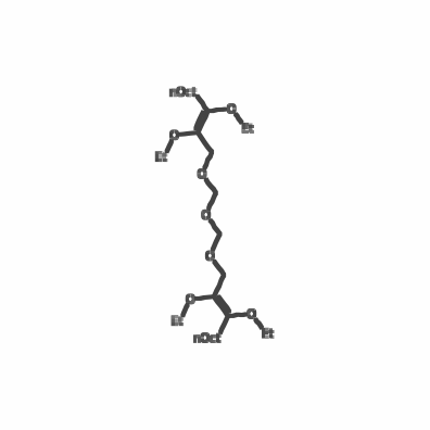 CCCCCCCCC(OCC)=C(COCOCOCC(OCC)=C(CCCCCCCC)OCC)OCC